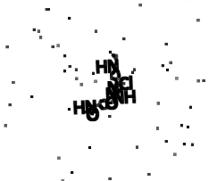 CC(=O)NC(C)(C)c1ccc(Oc2nc3c([nH]2)=CC(Cl)C(c2ccc(NCC4CC4)cc2)N=3)cc1